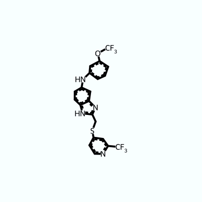 FC(F)(F)Oc1cccc(Nc2ccc3[nH]c(CSc4ccnc(C(F)(F)F)c4)nc3c2)c1